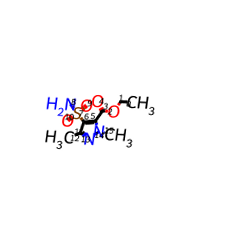 CCOC(=O)c1c(S(N)(=O)=O)c(C)nn1C